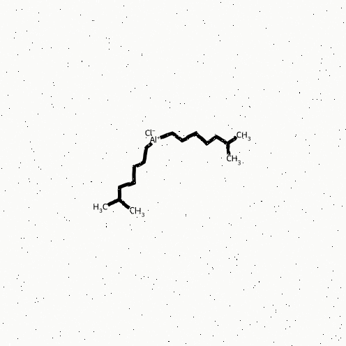 CC(C)CCCC[CH2][Al+][CH2]CCCCC(C)C.[Cl-]